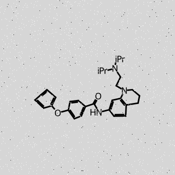 CC(C)N(CCN1CCCc2ccc(NC(=O)c3ccc(Oc4ccccc4)cc3)cc21)C(C)C